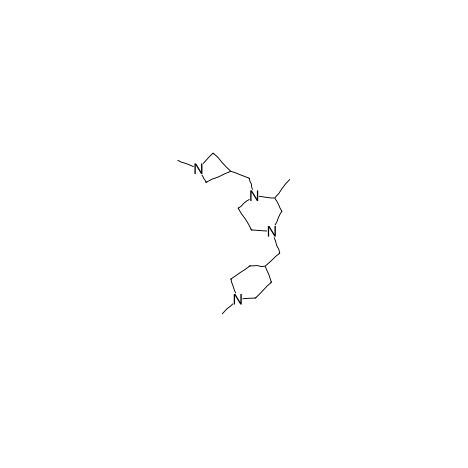 CC1CN(CC2CCN(C)CC2)CCN1CC1CN(C)C1